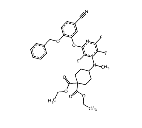 CCOC(=O)C1(C(=O)OCC)CCC(N(C)c2c(F)c(F)nc(Oc3cc(C#N)ccc3OCc3ccccc3)c2F)CC1